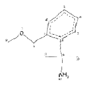 COCc1ccccc1C(C)(C)N